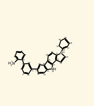 Nc1ccccc1-c1cccc(-c2ccc3[nH]c4c(ccc5c4ccn5C4=CC=CCC4)c3c2)c1